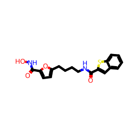 O=C(NO)c1ccc(CCCCNC(=O)c2cc3ccccc3s2)o1